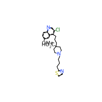 COc1ccc2ncc(Cl)c(CCCC3(C(=O)O)CCN(CCCCc4nccs4)CC3)c2c1